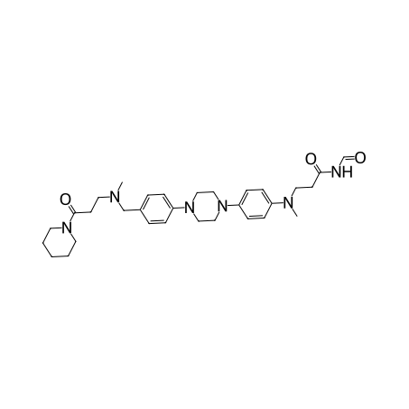 CN(CCC(=O)N1CCCCC1)Cc1ccc(N2CCN(c3ccc(N(C)CCC(=O)NC=O)cc3)CC2)cc1